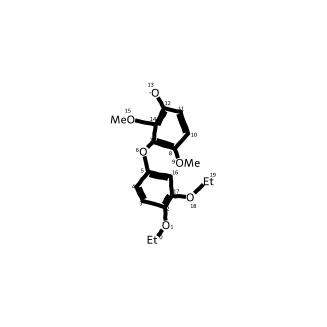 CCOc1ccc(Oc2c(OC)ccc([O])c2OC)cc1OCC